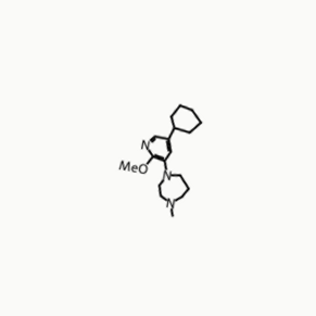 COc1ncc(C2CCCCC2)cc1N1CCCN(C)CC1